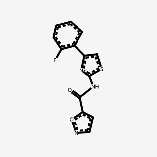 O=C(Nc1nc(-c2ccccc2F)cs1)c1ccno1